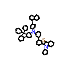 c1ccc(-n2c3ccccc3c3sc4c(-c5cccc(N(c6ccc(-c7cccc8ccccc78)cc6)c6ccc7c(c6)C(c6ccccc6)(c6ccccc6)c6ccccc6-7)c5)cccc4c32)cc1